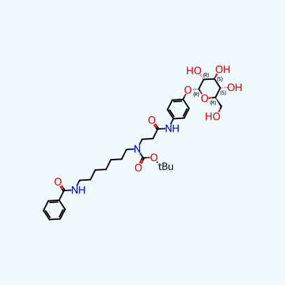 CC(C)(C)OC(=O)N(CCCCCCCNC(=O)c1ccccc1)CCC(=O)Nc1ccc(O[C@H]2O[C@H](CO)[C@@H](O)[C@H](O)[C@H]2O)cc1